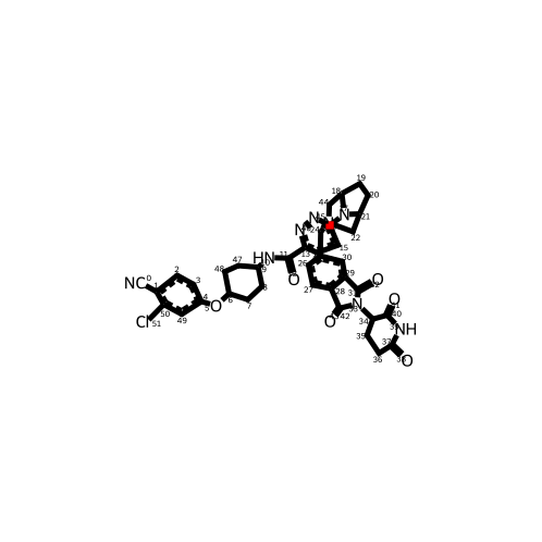 N#Cc1ccc(OC2CCC(NC(=O)c3ccc(N4C5CCC4CN(Cc4ccc6c(c4)C(=O)N(C4CCC(=O)NC4=O)C6=O)C5)nn3)CC2)cc1Cl